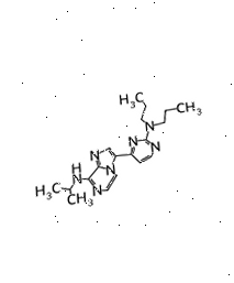 CCCN(CCC)c1nccc(-c2cnc3c(NC(C)C)nccn23)n1